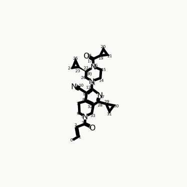 CC=CC(=O)N1CCc2c(C#N)c(N3CCN(C(=O)C4CC4)[C@H](C4CC4)C3)nc(C3CC3)c2C1